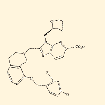 O=C(O)c1ccc2nc(CN3CCc4ccnc(OCc5ccc(Cl)cc5F)c4C3)n(C[C@@H]3CCO3)c2n1